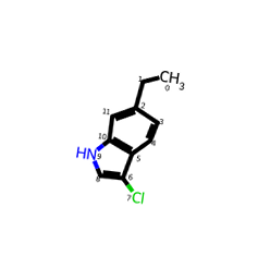 CCc1ccc2c(Cl)c[nH]c2c1